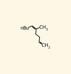 C=CCCC(C)=CCCCC